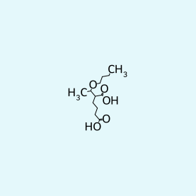 CCCCOC(C)C(CCCC(=O)O)C(=O)O